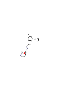 CCC1CC2/C=C/CCC1CC(/C=C/C1=Nc3cc(C(O)C(F)(F)F)cc(-c4nccs4)c3OC1)C2